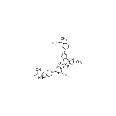 Cc1ccn(-c2cc(-c3cccc(C(C)C)c3)ccc2[C@@H](Oc2cc(N3CCC4(CC3)CN[C@H](C(=O)O)C4)nc(C)n2)C(F)(F)F)n1